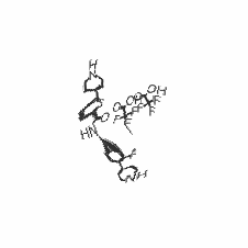 O=C(Nc1ccc(C2=CCNCC2)c(F)c1)c1ccc(C2=CCNCC2)s1.O=C(O)C(F)(F)F.O=C(O)C(F)(F)F